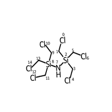 ClC[Si](CCl)(CCl)N[Si](CCl)(CCl)CCl